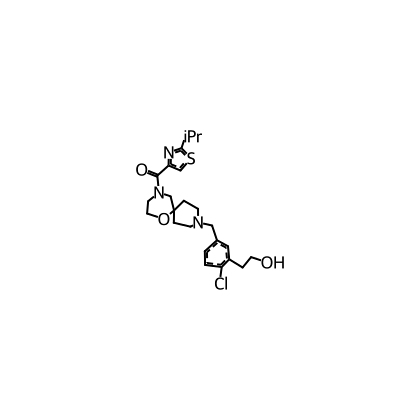 CC(C)c1nc(C(=O)N2CCOC3(CCN(Cc4ccc(Cl)c(CCO)c4)CC3)C2)cs1